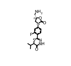 CC(C)C1SC(c2ccc(N3C[C@H](CN)OC3=O)cc2F)=NNC1=O